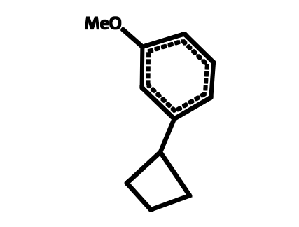 COc1cccc(C2CCC2)c1